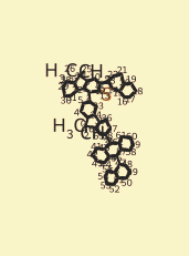 CC1(C)c2ccc(-c3c4c(cc5c3sc3c6ccccc6ccc53)C(C)(C)c3ccccc3-4)cc2-c2ccc(-c3c4ccccc4c(-c4cccc5ccccc45)c4ccccc34)cc21